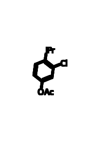 CC(=O)Oc1ccc(C(C)C)c(Cl)c1